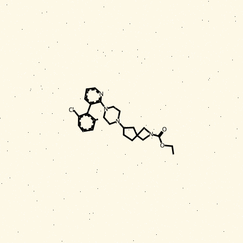 CCOC(=O)N1CC2(CCC(N3CCN(c4ncccc4-c4c(C)cccc4Cl)CC3)C2)C1